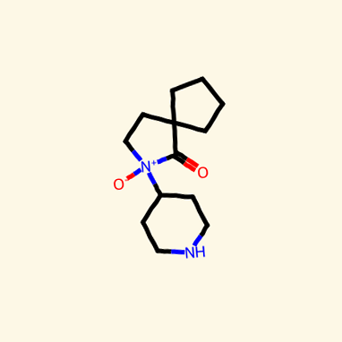 O=C1C2(CCCC2)CC[N+]1([O-])C1CCNCC1